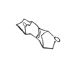 C1OC2CC1C1=C2C2CCC1O2